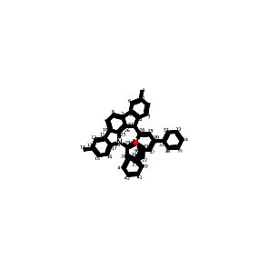 Cc1ccc2c(c1)-c1ccc3c4cc(C)ccc4n(-c4ccccc4)c3c1C2c1cc(-c2ccccc2)cc(-c2ccccc2)n1